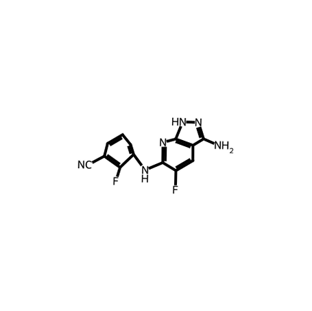 N#Cc1cccc(Nc2nc3[nH]nc(N)c3cc2F)c1F